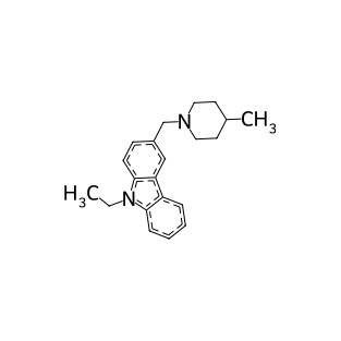 CCn1c2ccccc2c2cc(CN3CCC(C)CC3)ccc21